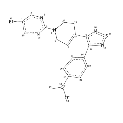 CCc1cnc(N2CC=C(c3nsnc3-c3ccc([S+](C)[O-])cc3)CC2)nc1